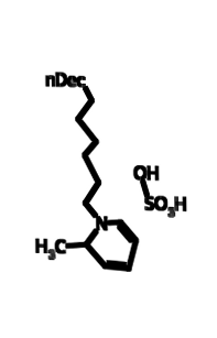 CCCCCCCCCCCCCCCCN1C=CC=CC1C.O=S(=O)(O)O